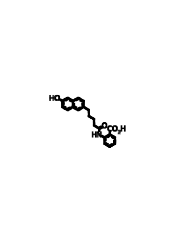 O=C(CCCCc1ccc2cc(O)ccc2c1)Nc1ccccc1C(=O)O